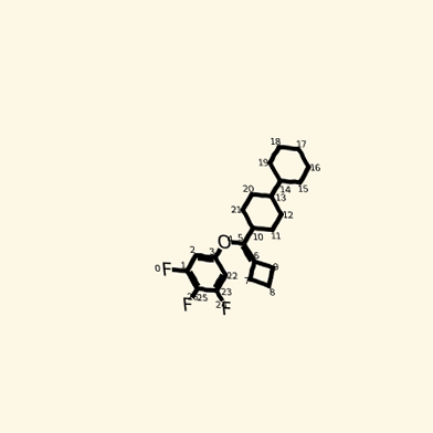 Fc1cc(OC(=C2CCC2)C2CCC(C3CCCCC3)CC2)cc(F)c1F